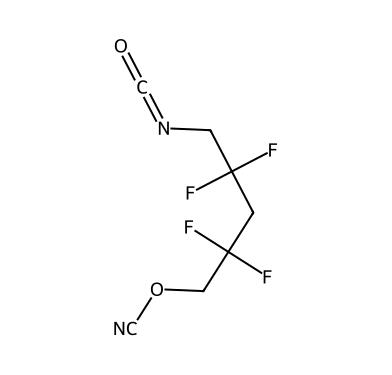 N#COCC(F)(F)CC(F)(F)CN=C=O